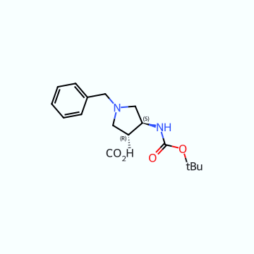 CC(C)(C)OC(=O)N[C@@H]1CN(Cc2ccccc2)C[C@H]1C(=O)O